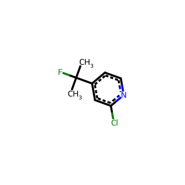 CC(C)(F)c1ccnc(Cl)c1